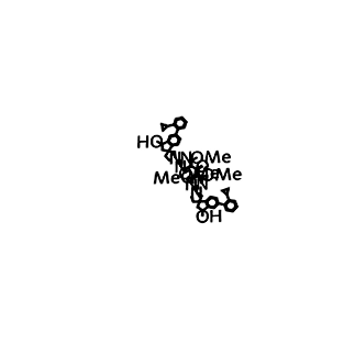 COc1nc(N2CCC3(CC(O)c4cc(-c5ccccc5C5CC5)ccc43)C2)nc(OC)c1C(=O)c1c(OC)nc(N2CCC3(CC(O)c4cc(-c5ccccc5C5CC5)ccc43)C2)nc1OC